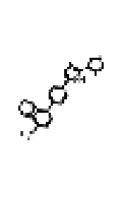 Cc1ccc(-c2ccc(-c3cnc([C@H]4CCCS4)[nH]3)cc2)c2c1C1CCC2C1